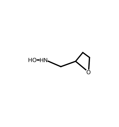 ONCC1CCO1